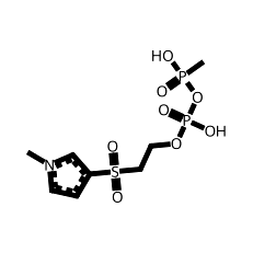 Cn1ccc(S(=O)(=O)CCOP(=O)(O)OP(C)(=O)O)c1